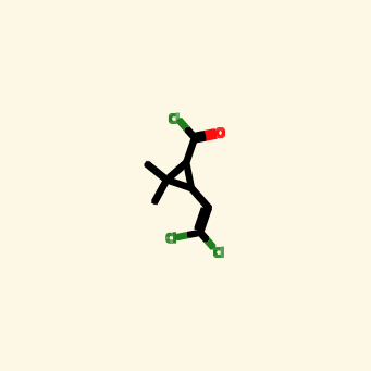 CC1(C)C(C=C(Cl)Cl)C1C(=O)Cl